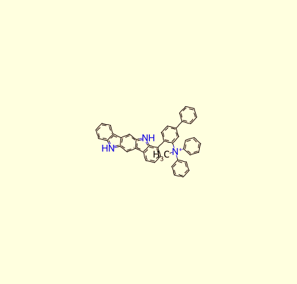 C[N+](c1ccccc1)(c1ccccc1)c1cc(-c2ccccc2)ccc1-c1cccc2c1[nH]c1cc3c(cc12)[nH]c1ccccc13